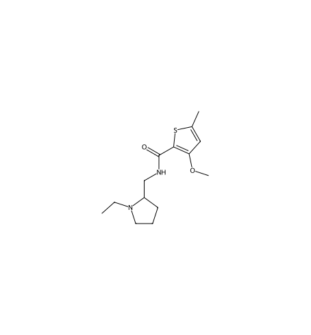 CCN1CCCC1CNC(=O)c1sc(C)cc1OC